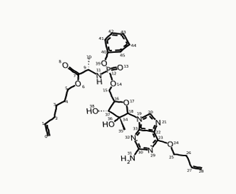 C=CCCCCOC(=O)[C@H](C)NP(=O)(OCC1OC(n2cnc3c(OCCC=C)nc(N)nc32)[C@](C)(O)[C@@H]1O)Oc1ccccc1